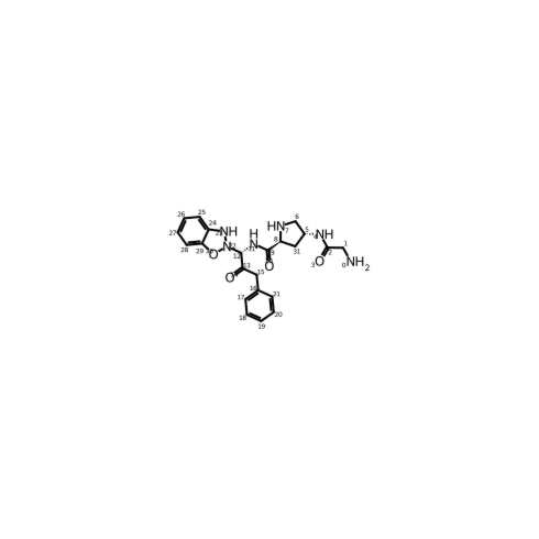 NCC(=O)N[C@H]1CN[C@H](C(=O)N[C@H](C(=O)Cc2ccccc2)N2Nc3ccccc3O2)C1